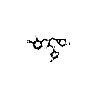 Cn1cnc(OC(=O)N(Cc2cccc(Cl)c2Cl)CC2C3CNCC32)c1